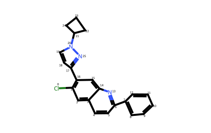 Clc1cc2ccc(-c3ccccc3)nc2cc1-c1ccn(C2CCC2)n1